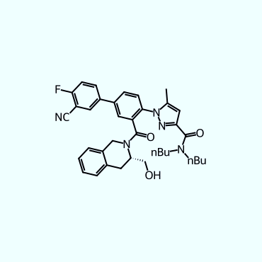 CCCCN(CCCC)C(=O)c1cc(C)n(-c2ccc(-c3ccc(F)c(C#N)c3)cc2C(=O)N2Cc3ccccc3C[C@H]2CO)n1